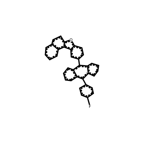 Fc1ccc(-c2c3ccccc3c(-c3ccc4oc5ccc6ccccc6c5c4c3)c3ccccc23)cc1